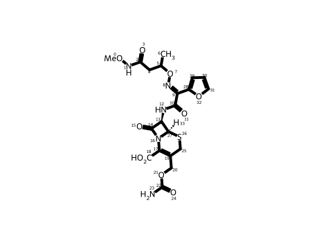 CONC(=O)CC(C)ON=C(C(=O)N[C@@H]1C(=O)N2C(C(=O)O)=C(COC(N)=O)CS[C@H]12)c1ccco1